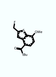 COc1ccc(C(=O)C(C)(C)C)c2cc(CF)sc12